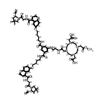 COC(=O)CN1CCN(CC(=O)O)CCN(CC(=O)NCCNc2cc(C(=O)NCCCCOc3ccc4nccc(C(=O)NCC(=O)N5CC(F)(F)C[C@H]5C#N)c4c3)cc(C(=O)NCCCCOc3ccc4nccc(C(=O)NCC(=O)N5CC(F)(F)C[C@H]5C#N)c4c3)c2)CCN(CC(=O)O)CC1